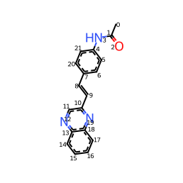 CC(=O)Nc1ccc(/C=C/c2cnc3ccccc3n2)cc1